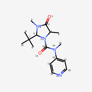 CC1C(=O)N(C)C(C(C)(C)C)N1C(=O)N(C)c1ccncc1